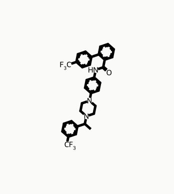 CC(c1cccc(C(F)(F)F)c1)N1CCN(c2ccc(NC(=O)c3ccccc3-c3ccc(C(F)(F)F)cc3)cc2)CC1